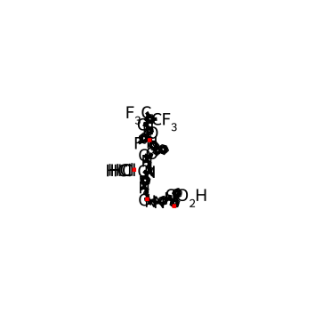 CN(CCN1CCC(N(C(=O)O)c2ccccc2-c2ccccc2)CC1)C(=O)CCCN(C)c1ccc(C(=O)N(C)CCCN(C)C(=O)CO[C@H]2Cc3ccccc3C23CCN(CC[C@]2(c4ccc(F)cc4)CN(C(=O)c4cc(C(F)(F)F)cc(C(F)(F)F)c4)CO2)CC3)cc1.Cl.Cl.Cl